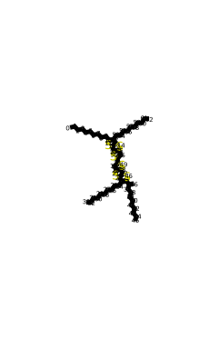 CCCCCCCCCCc1sc2c(sc3cc(-c4cc5sc6c(CCCCCCCCCC)c(C(C)CCCCCCCCC)sc6c5s4)sc32)c1CCCCCCCCCC